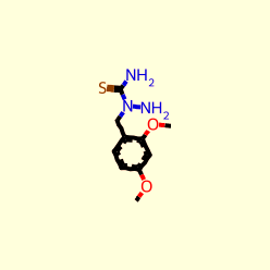 COc1ccc(CN(N)C(N)=S)c(OC)c1